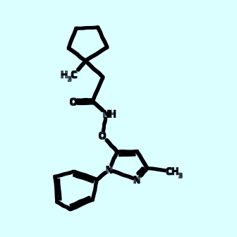 Cc1cc(ONC(=O)CC2(C)CCCC2)n(-c2ccccc2)n1